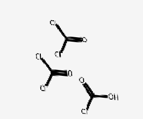 O=C(Cl)Cl.O=C(Cl)Cl.O=C(O)Cl